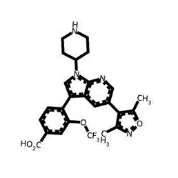 Cc1noc(C)c1-c1cnc2c(c1)c(-c1ccc(C(=O)O)cc1OC(F)(F)F)cn2C1CCNCC1